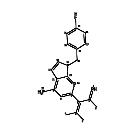 CC(=P)C(=C(C)C)c1cc(P)c2ccp(Cc3ccc(F)cc3)c2p1